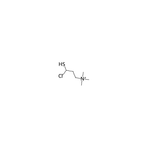 C[N+](C)(C)CCC(S)Cl